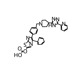 O=C(O)Oc1cn2c(-c3ccccc3)c(-c3ccc(CN4CCC(c5nnc(-c6ccccn6)[nH]5)CC4)cc3)nc2s1